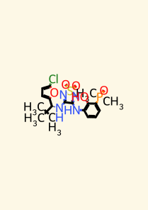 CC(C)(C)[C@@H](NC1=NS(=O)(=O)N=C1Nc1cccc(P(C)(C)=O)c1O)c1ccc(Cl)o1